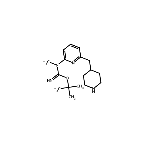 CN(C(=N)OC(C)(C)C)c1cccc(CC2CCNCC2)n1